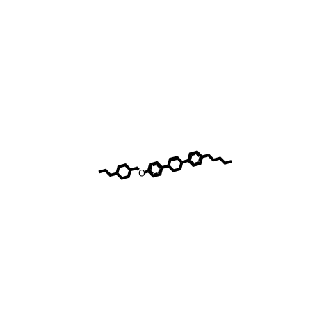 CCCCCc1ccc(C2C=CC(c3ccc(OCC4CCC(CCC)CC4)cc3)CC2)cc1